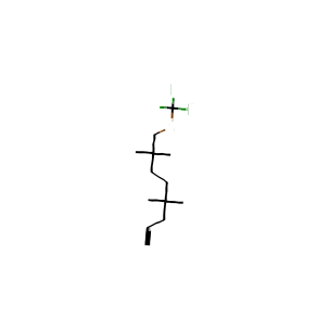 C=CCC(C)(C)CCC(C)(C)CSC(F)(F)F